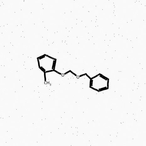 Cc1ccccc1OCOCc1ccccc1